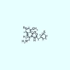 C=C(CN)N(NC(=O)Cc1cccc(F)c1)C(=O)c1c(C)cc(F)cc1F